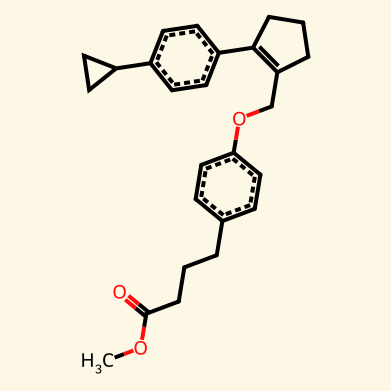 COC(=O)CCCc1ccc(OCC2=C(c3ccc(C4CC4)cc3)CCC2)cc1